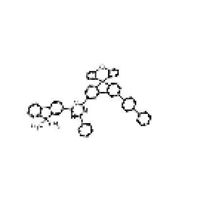 CC1(C)c2ccccc2-c2ccc(-c3nc(-c4ccccc4)nc(-c4ccc5c(c4)-c4cc(-c6ccc(-c7ccccc7)cc6)ccc4C54c5ccccc5Oc5ccccc54)n3)cc21